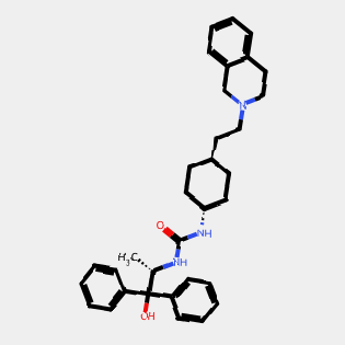 C[C@H](NC(=O)N[C@H]1CC[C@H](CCN2CCc3ccccc3C2)CC1)C(O)(c1ccccc1)c1ccccc1